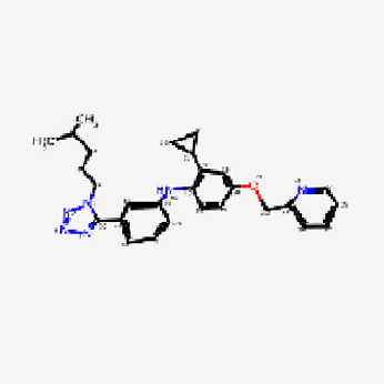 CC(C)CCCn1nnnc1-c1cccc(Nc2ccc(OCc3ccccn3)cc2C2CC2)c1